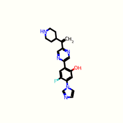 C=C(c1cnc(-c2cc(F)c(-n3ccnc3)cc2O)cn1)C1CCNCC1